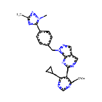 COc1ncnc(C2CC2)c1-c1ncc2cnn(Cc3ccc(-c4nc(C(F)(F)F)nn4C)cc3)c2n1